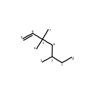 [CH2]CC(C)CC(C)(C)C=C